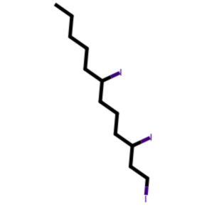 CCCCCC(I)CCCC(I)CCI